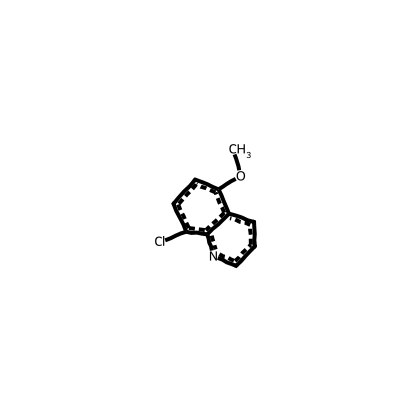 COc1ccc(Cl)c2ncccc12